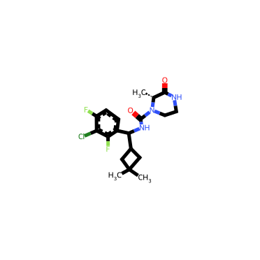 C[C@@H]1C(=O)NCCN1C(=O)NC(c1ccc(F)c(Cl)c1F)C1CC(C)(C)C1